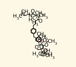 CC(=O)O[C@@H]1[C@@H](OC(C)=O)[C@@]2(c3ccc(C)c(Cc4ccc(CCCC(=O)N(C)C(C)(C)C(=O)NCCN(C)C)cc4)c3)OC[C@](C(C)(C)O)(O2)[C@H]1OC(C)=O